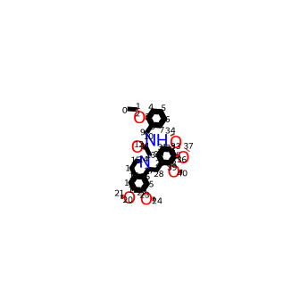 CCOc1ccccc1CNC(=O)CN1CCc2cc(OC)c(OC)cc2C1Cc1ccc(OC)c(OC)c1OC